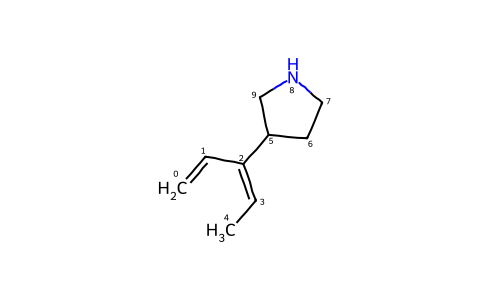 C=CC(=CC)C1CCNC1